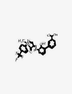 C[N+]1(c2ccc(C(F)(F)F)cc2)N=CC(=NNc2cccc(-c3cccc(C(=O)O)c3)c2O)C1=O